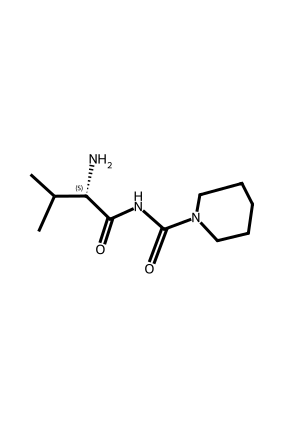 CC(C)[C@H](N)C(=O)NC(=O)N1CCCCC1